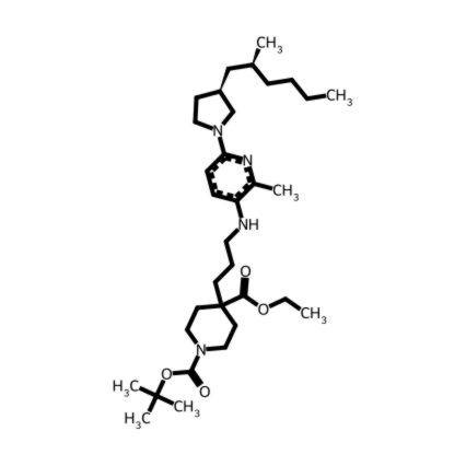 CCCC[C@H](C)C[C@@H]1CCN(c2ccc(NCCCC3(C(=O)OCC)CCN(C(=O)OC(C)(C)C)CC3)c(C)n2)C1